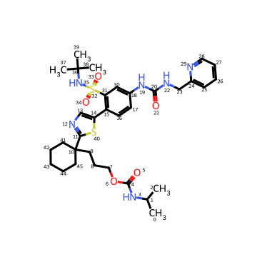 CC(C)NC(=O)OCCCC1(c2ncc(-c3ccc(NC(=O)NCc4ccccn4)cc3S(=O)(=O)NC(C)(C)C)s2)CCCCC1